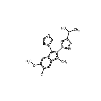 COc1cc2c(-n3ccnc3)c(-c3nc(C(C)O)n[nH]3)n(C)c2cc1Cl